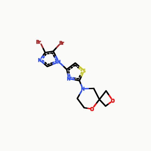 Brc1ncn(-c2csc(N3CCOC4(COC4)C3)n2)c1Br